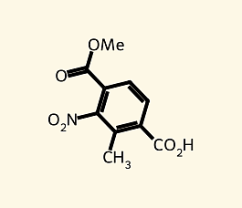 COC(=O)c1ccc(C(=O)O)c(C)c1[N+](=O)[O-]